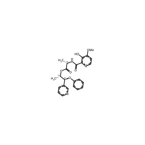 COc1ccnc(C(=O)N[C@@H](C)C(=O)O[C@@H](C)[C@@H](Oc2ccccc2)c2cccnc2)c1O